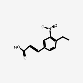 CCc1ccc(C=CC(=O)O)cc1[N+](=O)[O-]